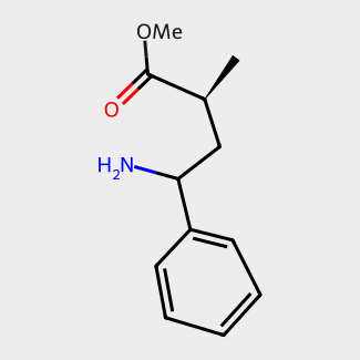 COC(=O)[C@@H](C)CC(N)c1ccccc1